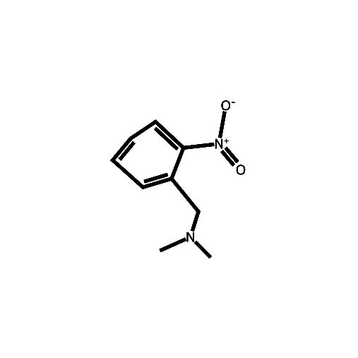 CN(C)Cc1ccccc1[N+](=O)[O-]